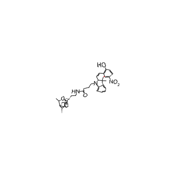 CC1O[Si]2(CCCNC(=O)CCCN3c4ccccc4C(C)(C)C3/C=C\c3cc([N+](=O)[O-])ccc3O)OC(C)C1O2